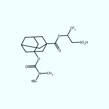 CN(C(=O)OC12CC3CC(C1)CC(C(=O)OC(CS(=O)(=O)O)C(F)(F)F)(C3)C2)C(C)(C)C